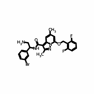 Cc1cc(OCc2c(F)cccc2F)n2nc(C)c(C(=O)NC(CN)c3cccc(Br)c3)c2c1